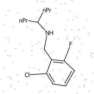 CCCC(CCC)NCc1c(F)cccc1Cl